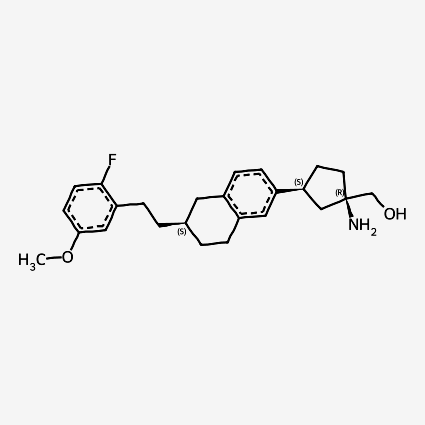 COc1ccc(F)c(CC[C@@H]2CCc3cc([C@H]4CC[C@](N)(CO)C4)ccc3C2)c1